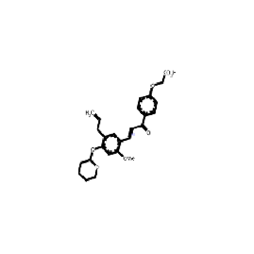 C=CCc1cc(/C=C/C(=O)c2ccc(OCC(=O)O)cc2)c(OC)cc1OC1CCCCO1